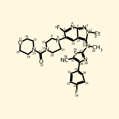 CCn1nc2nc(F)c(N3CCN(C(=O)N4CCOCC4)CC3)cc2c1N(C)c1nc(-c2ccc(F)cc2)c(C#N)s1